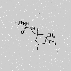 CC1(C)CC(I)CC(I)(CNC(=O)NN)C1